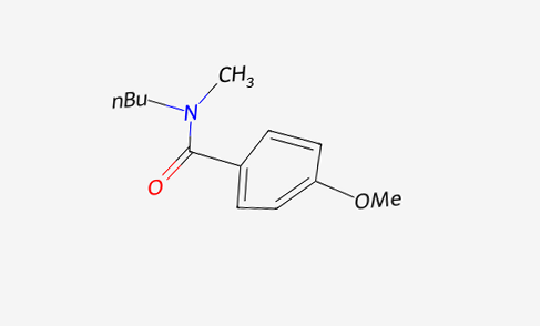 CCCCN(C)C(=O)c1ccc(OC)cc1